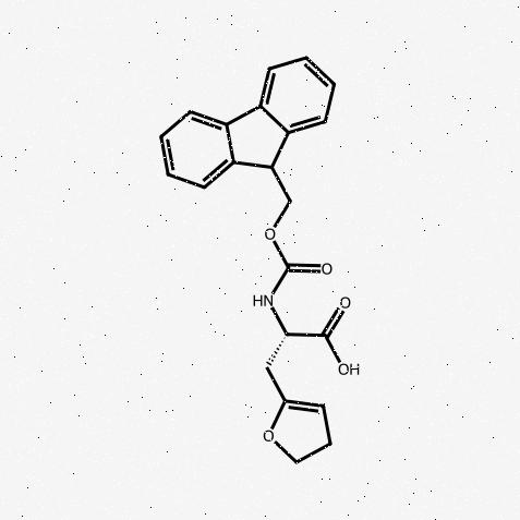 O=C(N[C@@H](CC1=CCCO1)C(=O)O)OCC1c2ccccc2-c2ccccc21